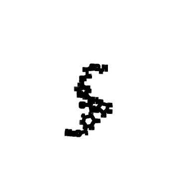 COC[C@H]1CC[C@H](N(C(=O)Nc2ncc(SCCC(=O)O)s2)C2CCCC2)CC1